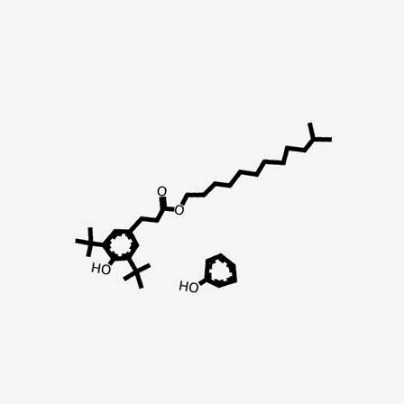 CC(C)CCCCCCCCCCOC(=O)CCc1cc(C(C)(C)C)c(O)c(C(C)(C)C)c1.Oc1ccccc1